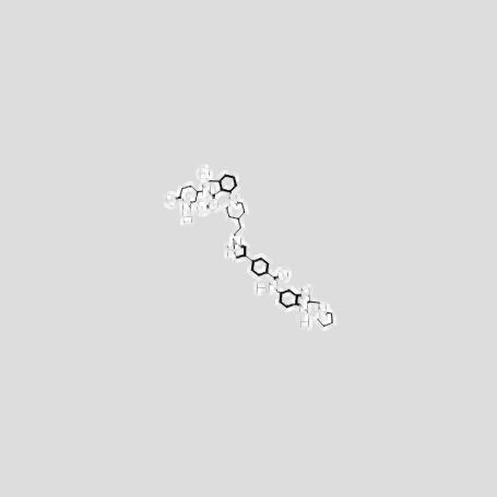 C[C@H]1CCCN1Cc1nc2cc(NC(=O)c3ccc(-c4cnn(CCC5CCN(c6cccc7c6C(=O)N(C6CCC(=O)NC6=O)C7=O)CC5)c4)cc3)ccc2[nH]1